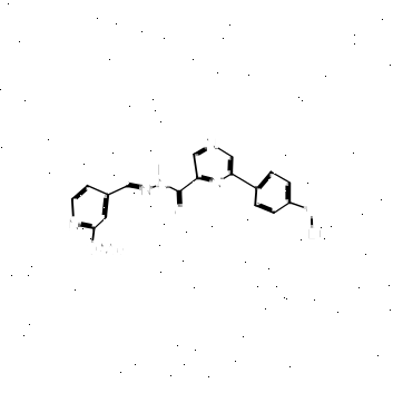 CCOc1ccc(-c2cncc(C(=O)N/N=C/c3ccnc(OC)c3)n2)cc1